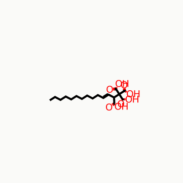 CCCCCCCCCCC=CC(C(=O)O)C(C(=O)O)(C(=O)O)C(=O)O